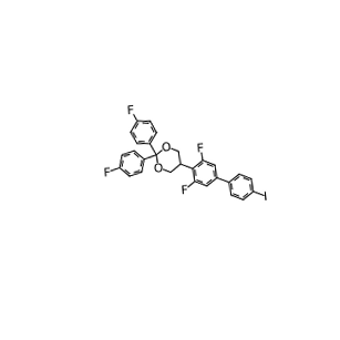 Fc1ccc(C2(c3ccc(F)cc3)OCC(c3c(F)cc(-c4ccc(I)cc4)cc3F)CO2)cc1